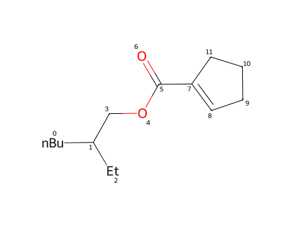 CCCCC(CC)COC(=O)C1=CCCC1